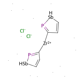 [CH]1=C[C]([Zr+2][C]2=[P][SbH][CH]=C2)=[P][SbH]1.[Cl-].[Cl-]